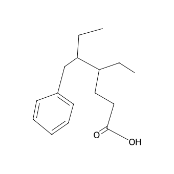 CCC(CCC(=O)O)C(CC)Cc1ccccc1